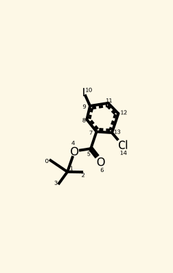 CC(C)(C)OC(=O)c1cc(I)ccc1Cl